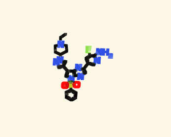 CCN1CCC(n2cc(-c3cn(S(=O)(=O)c4ccccc4)c4ncc(-c5cnc(N)c(F)c5)nc34)cn2)CC1